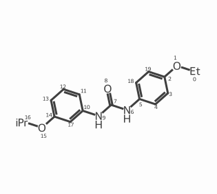 CCOc1ccc(NC(=O)Nc2cccc(OC(C)C)c2)cc1